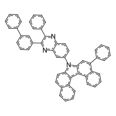 c1ccc(-c2cccc(-c3nc4cc(-n5c6ccc7ccccc7c6c6c7ccccc7c(-c7ccccc7)cc65)ccc4nc3-c3ccccc3)c2)cc1